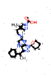 C=C(c1ccccc1)c1nn(C2CCCCO2)c2nc(N3CCC(C)(CNC(=O)O)CC3)cnc12